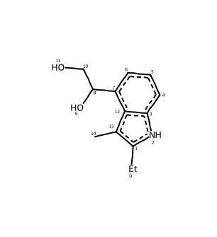 CCc1[nH]c2cccc(C(O)CO)c2c1C